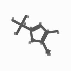 Cc1cc(C(C)(C)C)sc1Br